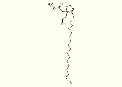 CCCCCCCCCCCCCCCCCC1=NCC[N+]1(CCO)CC(=O)OC